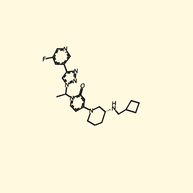 CC(n1cc(-c2cncc(F)c2)nn1)n1ccc(N2CCC[C@@H](NCC3CCC3)C2)cc1=O